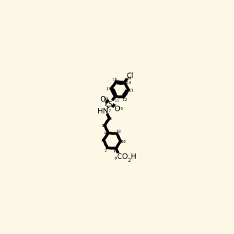 O=C(O)C1CCC(CCNS(=O)(=O)c2ccc(Cl)cc2)CC1